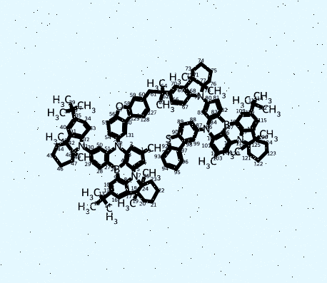 Cc1cc2c3c(c1)N1c4c(cc(C(C)(C)C)cc4C4(C)CCCCC14C)B3c1ccc(N3c4ccc(C(C)(C)C)cc4C4(C)CCCCC34C)cc1N2c1ccc2oc3cc(CC(C)(C)c4ccc5c(c4)[C@]4(C)CCCCC4(C)N5c4ccc5c(c4)N(c4ccc6sc7ccccc7c6c4)c4cc(C)cc6c4B5c4cc(C(C)(C)C)cc5c4N6C4(C)CCCCC54C)ccc3c2c1